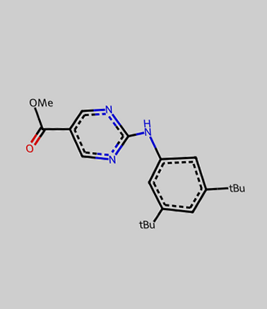 COC(=O)c1cnc(Nc2cc(C(C)(C)C)cc(C(C)(C)C)c2)nc1